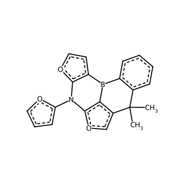 CC1(C)c2ccccc2B2c3ccoc3N(c3ccco3)c3occ1c32